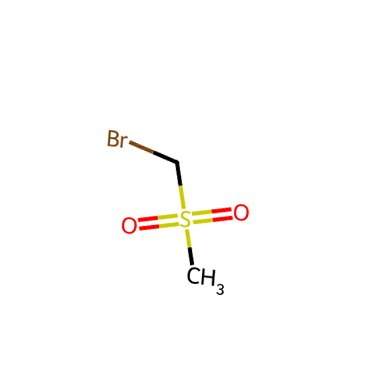 CS(=O)(=O)CBr